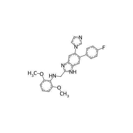 COc1cccc(OC)c1NCc1nc2cc(-n3ccnc3)c(-c3ccc(F)cc3)cc2[nH]1